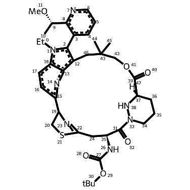 CCn1c(-c2cccnc2[C@H](C)OC)c2c3nc(ccc31)C1CSC(=N1)C[C@H](NC(=O)OC(C)(C)C)C(=O)N1CCC[C@H](N1)C(=O)OCC(C)(C)C2